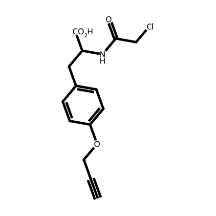 C#CCOc1ccc(CC(NC(=O)CCl)C(=O)O)cc1